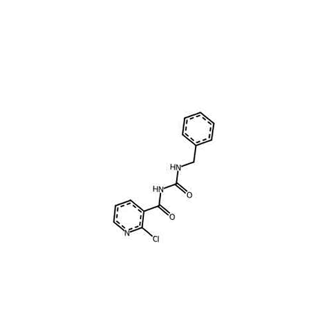 O=C(NCc1ccccc1)NC(=O)c1cccnc1Cl